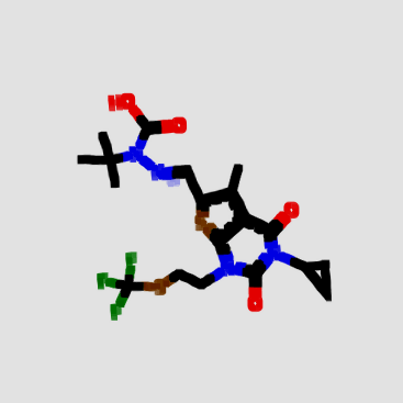 Cc1c(/C=N/N(C(=O)O)C(C)(C)C)sc2c1c(=O)n(C1CC1)c(=O)n2CCSC(F)(F)F